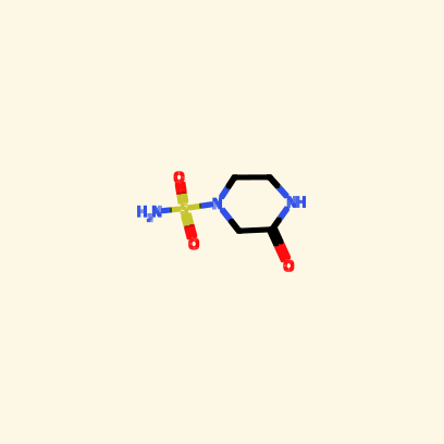 NS(=O)(=O)N1CCNC(=O)C1